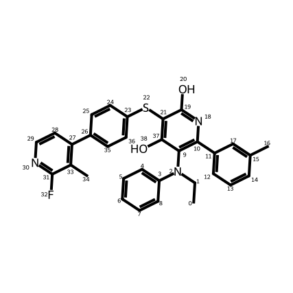 CCN(c1ccccc1)c1c(-c2cccc(C)c2)nc(O)c(Sc2ccc(-c3ccnc(F)c3C)cc2)c1O